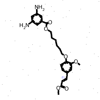 COC(=O)/C=C/c1ccc(OCCCCCCOC(=O)c2cc(N)cc(N)c2)c(OC)c1